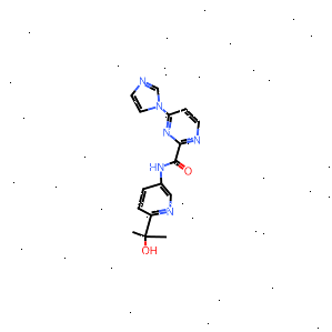 CC(C)(O)c1ccc(NC(=O)c2nccc(-n3ccnc3)n2)cn1